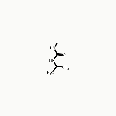 CC(C)NC(=O)NI